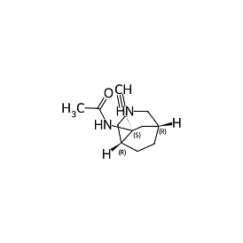 C#C[C@]1(NC(C)=O)C[C@H]2CC[C@@H]1CNC2